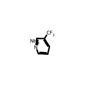 FC(F)(F)c1cccnc1.N